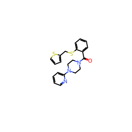 O=C(c1ccccc1SCc1cccs1)N1CCN(c2ccccn2)CC1